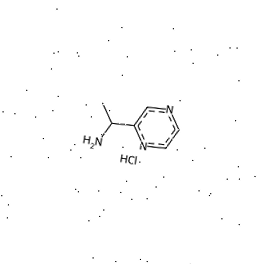 CC(N)c1cnccn1.Cl